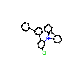 Clc1ccc(-c2cccc(-c3ccccc3)c2)c(-n2c3ccccc3c3ccccc32)c1